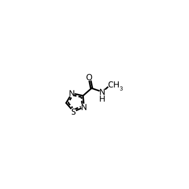 CNC(=O)c1ncsn1